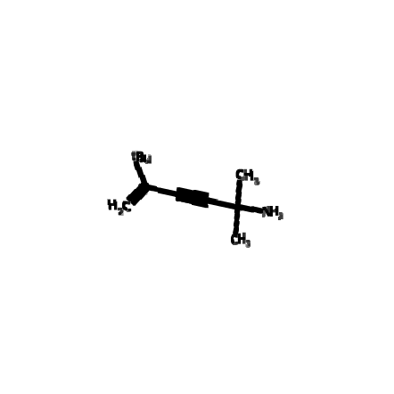 C=C(C#CC(C)(C)N)C(C)(C)C